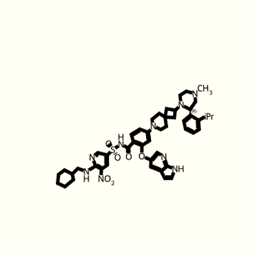 CC(C)c1ccccc1[C@@H]1CN(C)CCN1C1CC2(CCN(c3ccc(C(=O)NS(=O)(=O)c4cnc(NCC5CCCCC5)c([N+](=O)[O-])c4)c(Oc4cnc5[nH]ccc5c4)c3)CC2)C1